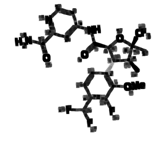 COc1c([C@@H]2[C@@H](C(=O)Nc3ccnc(C(N)=O)c3)O[C@@](C)(C(F)(F)F)[C@H]2C)ccc(C(F)F)c1F